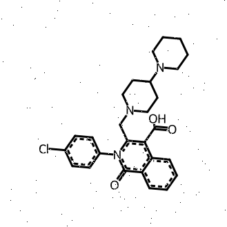 O=C(O)c1c(CN2CCC(N3CCCCC3)CC2)n(-c2ccc(Cl)cc2)c(=O)c2ccccc12